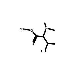 CCCOC(=O)C(C(C)O)N(C)C